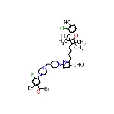 CCc1cc(F)c(N2CCN(CC3CCN(c4ccc(C=O)c(CCCCC5C(C)(C)C(Oc6ccc(C#N)c(Cl)c6)C5(C)C)n4)CC3)CC2)cc1C(=O)C(C)CC